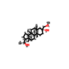 CCOC[C@@]1(O)CC[C@@]2(C)[C@H](CC[C@@H]3[C@@H]2CC[C@]2(C)[C@@H]([C@H](O)CC)CC[C@@H]32)C1